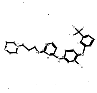 FC(F)(F)c1cccc(Oc2ccc(Nc3ccnc(SCCCN4CCOCC4)n3)cc2Cl)c1